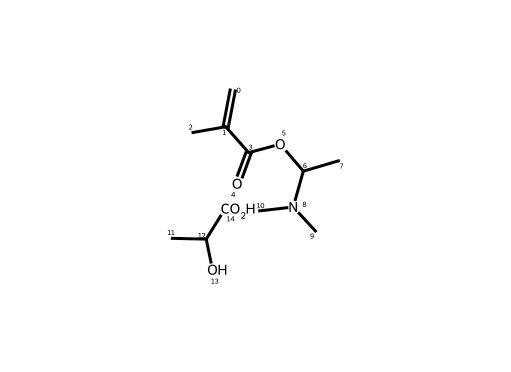 C=C(C)C(=O)OC(C)N(C)C.CC(O)C(=O)O